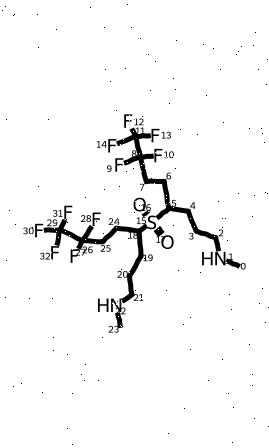 CNCCCC(CCC(F)(F)C(F)(F)F)S(=O)(=O)C(CCCNC)CCC(F)(F)C(F)(F)F